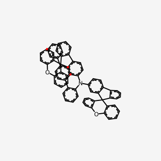 c1ccc(-c2ccc(-c3ccccc3N(c3ccc4c(c3)C3(c5ccccc5Oc5ccccc53)c3ccccc3-4)c3ccc4c(c3)C3(c5ccccc5Oc5ccccc53)c3ccccc3-4)cc2)cc1